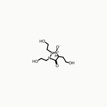 O=C1C(CCO)[NH+]([O-])N(CCO)N1CCO